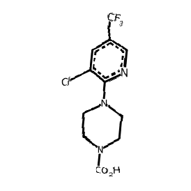 O=C(O)N1CCN(c2ncc(C(F)(F)F)cc2Cl)CC1